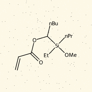 C=CC(=O)OC(CCCC)[Si](CC)(CCC)OC